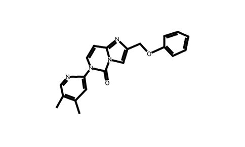 Cc1cnc(-n2ccc3nc(COc4ccccc4)cn3c2=O)cc1C